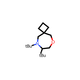 CC(C)(C)C1COCC2(CCC2)CN1C(C)(C)C